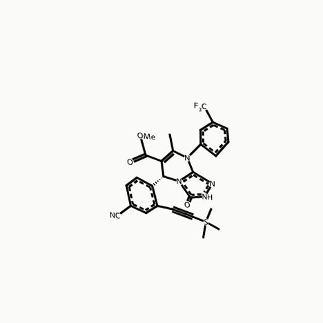 COC(=O)C1=C(C)N(c2cccc(C(F)(F)F)c2)c2n[nH]c(=O)n2[C@@H]1c1ccc(C#N)cc1C#CS(C)(C)C